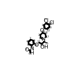 CC(=O)Nc1ccccc1OC[C@@H](O)[C@H](C)N1CCC(Oc2ccc(Cl)c(Cl)c2)CC1